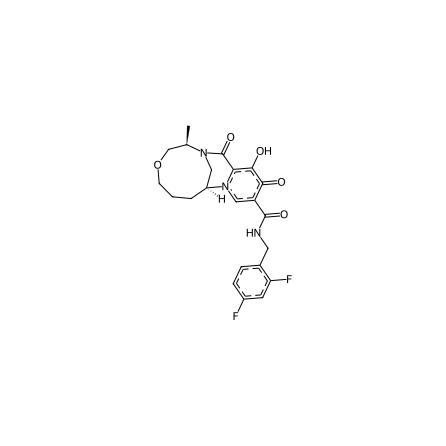 C[C@@H]1COCCC[C@H]2CN1C(=O)c1c(O)c(=O)c(C(=O)NCc3ccc(F)cc3F)cn12